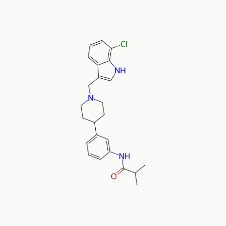 CC(C)C(=O)Nc1cccc(C2CCN(Cc3c[nH]c4c(Cl)cccc34)CC2)c1